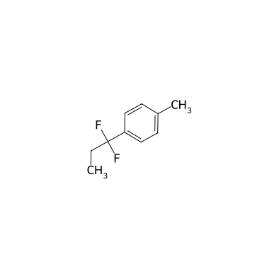 CCC(F)(F)c1ccc(C)cc1